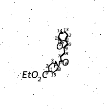 CCOC(=O)C1CCN(C(=O)C=Cc2cc3ccccc3o2)CC1